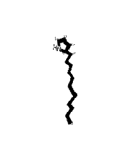 CCCCCCCCCC[CH]C1CCCN1